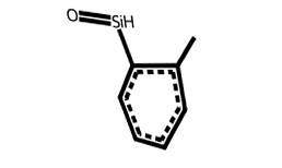 Cc1ccccc1[SiH]=O